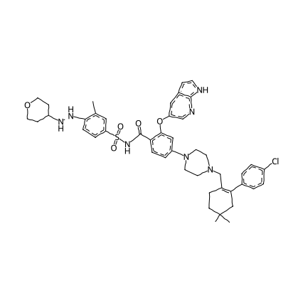 Cc1cc(S(=O)(=O)NC(=O)c2ccc(N3CCN(CC4=C(c5ccc(Cl)cc5)CC(C)(C)CC4)CC3)cc2Oc2cnc3[nH]ccc3c2)ccc1NNC1CCOCC1